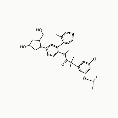 Cc1ccccc1-c1cc(N2CC(O)CC2CO)ncc1N(C)C(=O)C(C)(C)c1cc(Cl)cc(OC(F)F)c1